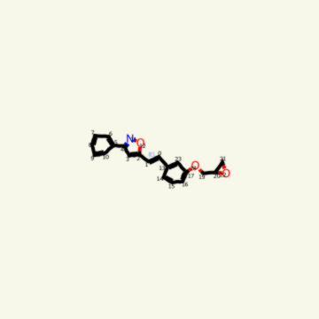 C(=C\c1cc(-c2ccccc2)no1)/c1cccc(OCC2CO2)c1